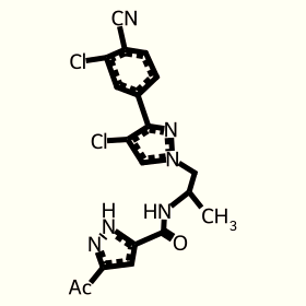 CC(=O)c1cc(C(=O)NC(C)Cn2cc(Cl)c(-c3ccc(C#N)c(Cl)c3)n2)[nH]n1